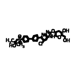 CC(C)(O)CS(=O)(=O)c1ccc(-c2ccc(-c3nc4nc(O[C@H]5COC(CO)[C@@H](O)C5)[nH]c4cc3Cl)cc2)cc1